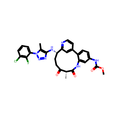 COC(=O)Nc1ccc2c(c1)NC(=O)[C@H](C)C(=O)CC[C@H](Nc1nnn(-c3cccc(Cl)c3F)c1C)c1cc-2ccn1